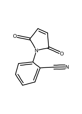 N#Cc1ccccc1N1C(=O)C=CC1=O